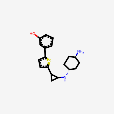 N[C@H]1CC[C@H](NC2CC2c2ccc(-c3cccc(O)c3)s2)CC1